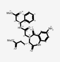 COC(=O)CC[C@H]1C(=O)Nc2ccc(N)cc2C(=O)N1CC(=O)N[C@@H](CC(=O)OC)c1ccccc1